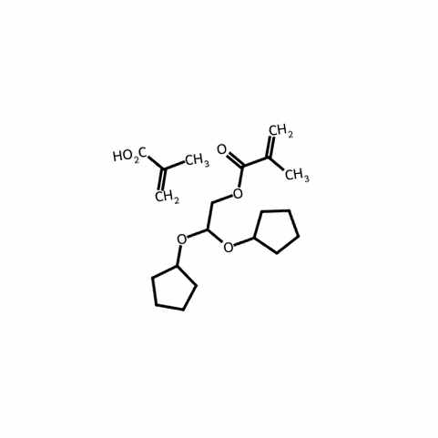 C=C(C)C(=O)O.C=C(C)C(=O)OCC(OC1CCCC1)OC1CCCC1